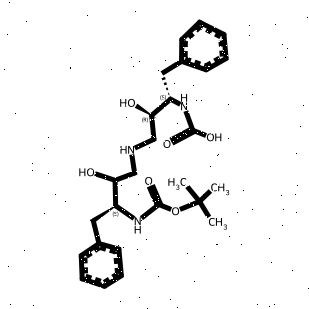 CC(C)(C)OC(=O)N[C@@H](Cc1ccccc1)C(O)CNC[C@@H](O)[C@H](Cc1ccccc1)NC(=O)O